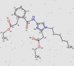 CCCCCCn1cc(NC(=O)c2ccccc2CC(=O)OCC)nc1CC(=O)OCC